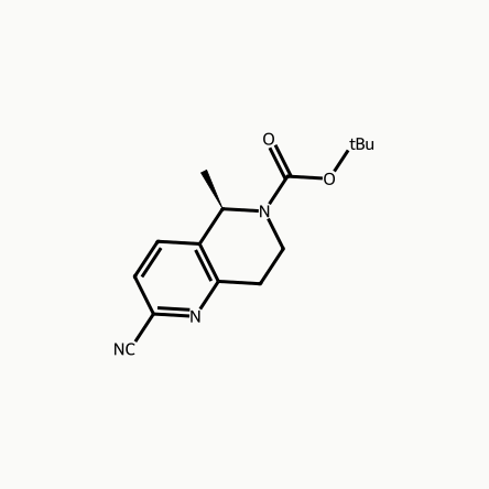 C[C@@H]1c2ccc(C#N)nc2CCN1C(=O)OC(C)(C)C